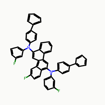 Fc1cccc(N(c2ccc(-c3ccccc3)cc2)c2cc3c4cc(F)ccc4c(N(c4ccc(-c5ccccc5)cc4)c4cccc(F)c4)cc3c3ccccc23)c1